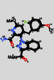 CNC(=O)c1nn(-c2c(Cc3cc(OC(F)(F)F)ccc3F)cc(OC)nc2C(N)=O)c2ccccc12